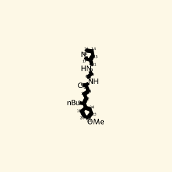 CCCC/C(=C\C=C\C(=O)NCCNCc1cccnc1)c1ccc(OC)cc1